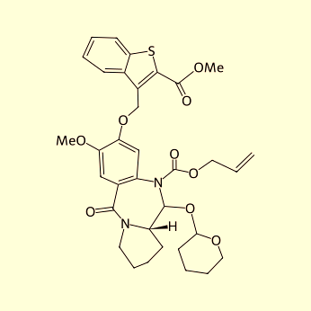 C=CCOC(=O)N1c2cc(OCc3c(C(=O)OC)sc4ccccc34)c(OC)cc2C(=O)N2CCCC[C@H]2C1OC1CCCCO1